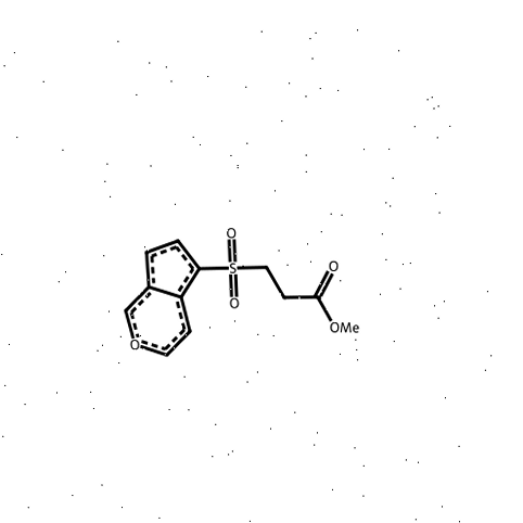 COC(=O)CCS(=O)(=O)c1ccc2coccc1-2